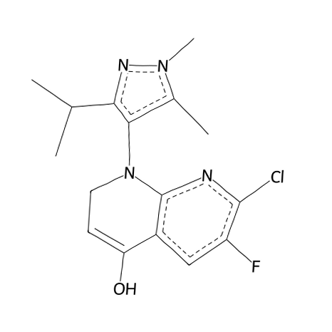 Cc1c(N2CC=C(O)c3cc(F)c(Cl)nc32)c(C(C)C)nn1C